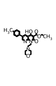 CCOC(=O)c1c(O)c2cc(-c3ccc(C)cc3)cnc2n(CCN2CCOCC2)c1=O